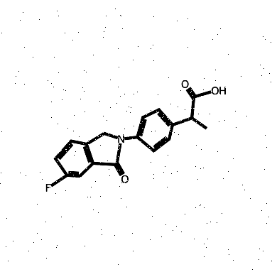 CC(C(=O)O)c1ccc(N2Cc3ccc(F)cc3C2=O)cc1